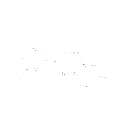 Cc1cnc2[nH]c(-c3cccc(Cl)c3)cc(=O)c2c1